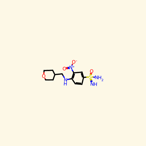 N=S(N)(=O)c1ccc(NCC2CCOCC2)c([N+](=O)[O-])c1